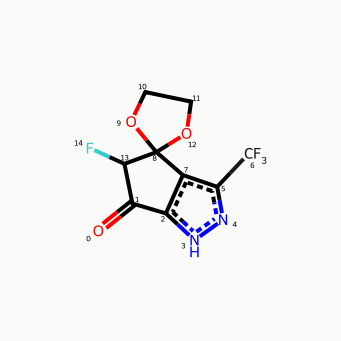 O=C1c2[nH]nc(C(F)(F)F)c2C2(OCCO2)C1F